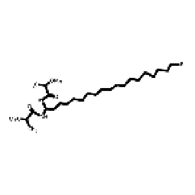 COC(C)C(=O)NC(CCCCCCCCCCCCCCCCCCC(C)C)NC(=O)C(C)OC